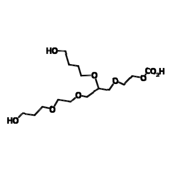 O=C(O)OCCOCC(COCCOCCCO)OCCCCO